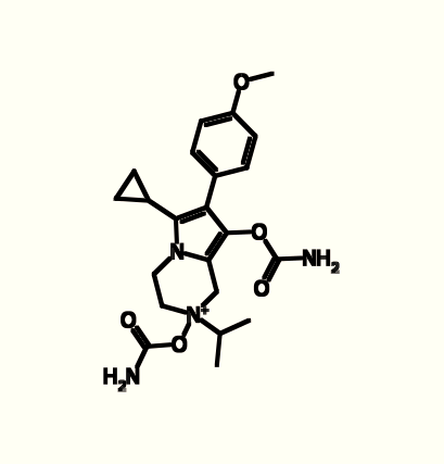 COc1ccc(-c2c(OC(N)=O)c3n(c2C2CC2)CC[N+](OC(N)=O)(C(C)C)C3)cc1